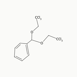 ClC(Cl)(Cl)COC(OCC(Cl)(Cl)Cl)c1ccccc1